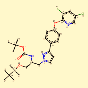 CC(C)(C)OC(=O)N[C@H](CO[Si](C)(C)C(C)(C)C)Cn1ccc(-c2ccc(Oc3ncc(Cl)cc3F)cc2)n1